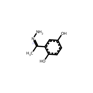 C/C(=N/N)c1cc(O)ccc1O